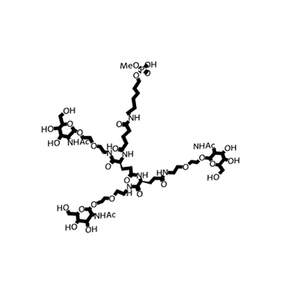 COP(=O)(O)OCCCCCCNC(=O)CCCC(=O)N[C@@H](CCC(=O)N[C@@H](CCC(=O)NCCOCCOC1OC(CO)C(O)C(O)C1NC(C)=O)C(=O)NCCOCCOC1OC(CO)C(O)C(O)C1NC(C)=O)C(=O)NCCOCCOC1OC(CO)C(O)C(O)C1NC(C)=O